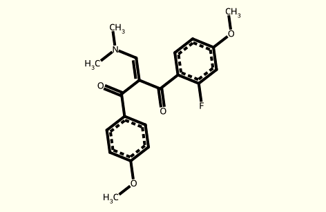 COc1ccc(C(=O)C(=CN(C)C)C(=O)c2ccc(OC)cc2F)cc1